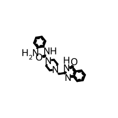 Nc1ccccc1NC(=O)N1CCN(Cc2nc3ccccc3c(=O)[nH]2)CC1